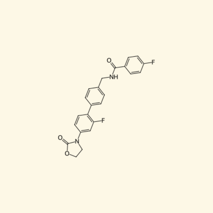 O=C(NCc1ccc(-c2ccc(N3CCOC3=O)cc2F)cc1)c1ccc(F)cc1